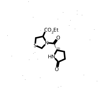 CCOC(=O)C1CSCN1C(=O)[C@@H]1CCC(=O)N1